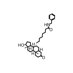 C[C@]12CCC(=O)C[C@@H]1C[C@@H](CCCCCCCC(=O)NCc1ccccc1)[C@@H]1[C@@H]2CC[C@]2(C)[C@@H](O)CC[C@@H]12